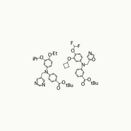 CC(C)(C)OC(=O)c1cccc(N(Cc2cnco2)c2ccc(OC(F)F)c(OC3CCC3)c2)c1.CCOc1ccc(N(Cc2cncnc2)c2ccc(C(=O)OC(C)(C)C)cc2)cc1OC(C)C